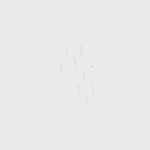 Cc1nc(C(N)c2ccc(O)cc2)c2ccccc2n1